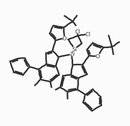 Cc1cc2c(c(-c3ccccc3)c1C)C=C(c1ccc(C(C)(C)C)o1)[CH]2[Zr]([CH]1C(c2ccc(C(C)(C)C)o2)=Cc2c1cc(C)c(C)c2-c1ccccc1)=[Si]1CC(Cl)(Cl)C1